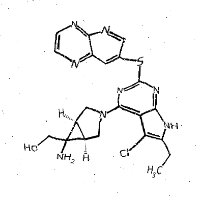 CCc1[nH]c2nc(Sc3cnc4nccnc4c3)nc(N3C[C@@H]4[C@H](C3)C4(N)CO)c2c1Cl